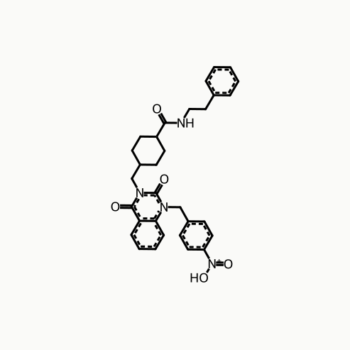 O=C(NCCc1ccccc1)C1CCC(Cn2c(=O)c3ccccc3n(Cc3ccc([N+](=O)O)cc3)c2=O)CC1